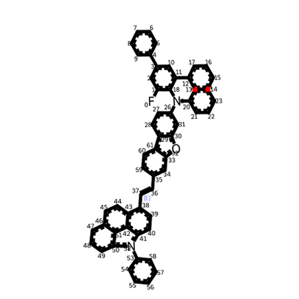 Fc1cc(-c2ccccc2)cc(-c2ccccc2)c1N(c1ccccc1)c1ccc2c(c1)oc1cc(/C=C/c3ccc4c5c3ccc3cccc(c35)n4-c3ccccc3)ccc12